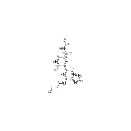 C=CCCOc1nc(-c2cc([C@@H](C)NCC)cnc2C)cn2ncnc12